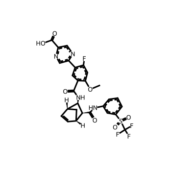 COc1cc(F)c(-c2cnc(C(=O)O)cn2)cc1C(=O)N[C@H]1[C@@H](C(=O)Nc2cccc(S(=O)(=O)C(F)(F)F)c2)[C@@H]2C=C[C@H]1C2